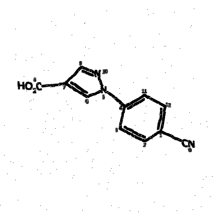 N#Cc1ccc(-n2cc(C(=O)O)cn2)cc1